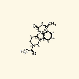 CC(=O)N1CCc2c(c3cccc4c3n2C(=O)CN4C)C1